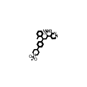 COc1nnccc1C(CC(c1ccc(C2CCN(S(C)(=O)=O)CC2)cc1)c1ccccc1C)=NO